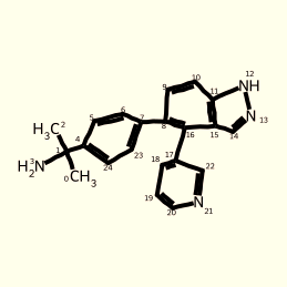 CC(C)(N)c1ccc(-c2ccc3[nH]ncc3c2-c2cccnc2)cc1